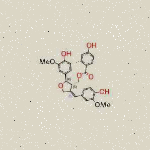 COc1cc(/C=C2/CO[C@@H](c3ccc(O)c(OC)c3)[C@@H]2COC(=O)c2ccc(O)cc2)ccc1O